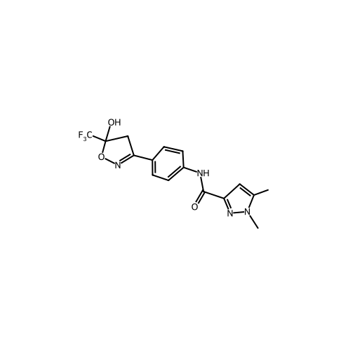 Cc1cc(C(=O)Nc2ccc(C3=NOC(O)(C(F)(F)F)C3)cc2)nn1C